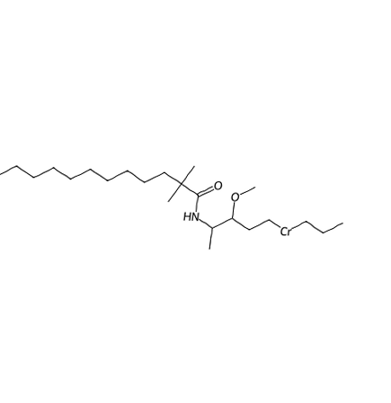 CCCCCCCCCCC(C)(C)C(=O)NC(C)C(C[CH2][Cr][CH2]CC)OC